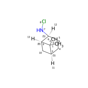 CC1(C)[C@H]2CC[C@H](NCl)[C@@H]1C2